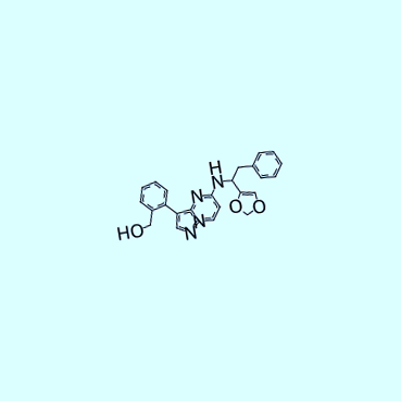 OCc1ccccc1-c1cnn2ccc(NC(Cc3ccccc3)C3=COCO3)nc12